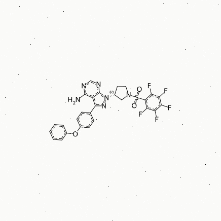 Nc1ncnc2c1c(-c1ccc(Oc3ccccc3)cc1)nn2[C@@H]1CCN(S(=O)(=O)c2c(F)c(F)c(F)c(F)c2F)C1